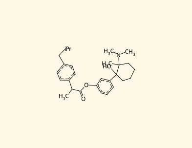 CC(C)Cc1ccc(C(C)C(=O)Oc2cccc(C3(O)CCCCC3(C)N(C)C)c2)cc1